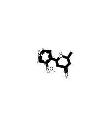 CC1CC(=O)CC(c2ccncc2[N+](=O)[O-])O1